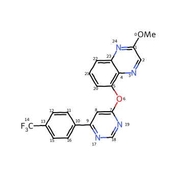 COc1cnc2c(Oc3cc(-c4ccc(C(F)(F)F)cc4)ncn3)cccc2n1